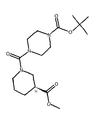 COC(=O)[C@H]1CCCN(C(=O)N2CCN(C(=O)OC(C)(C)C)CC2)C1